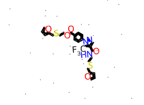 O=C(OCCSCc1ccco1)c1ccc(-n2ncc(C(=O)NCCSCc3ccco3)c2C(F)(F)F)cc1